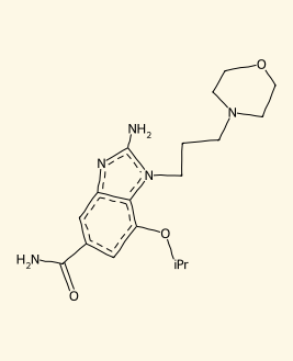 CC(C)Oc1cc(C(N)=O)cc2nc(N)n(CCCN3CCOCC3)c12